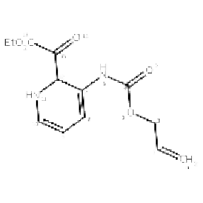 C=CCOC(=O)NC1=CC=CNC1C(=O)C(=O)OCC